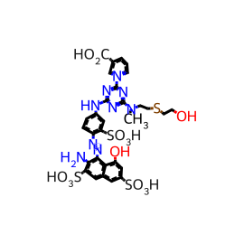 CN(CCSCCO)c1nc(Nc2ccc(/N=N/c3c(N)c(S(=O)(=O)O)cc4cc(S(=O)(=O)O)cc(O)c34)c(S(=O)(=O)O)c2)nc(-[n+]2cccc(C(=O)O)c2)n1